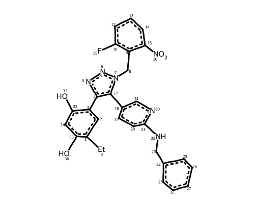 CCc1cc(-c2nnn(Cc3c(F)cccc3[N+](=O)[O-])c2-c2ccc(NCc3ccccc3)nc2)c(O)cc1O